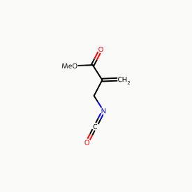 C=C(CN=C=O)C(=O)OC